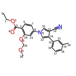 CCOC(=O)c1ccc(-n2cc(C#N)c(-c3cccc(C)c3)c2)cc1OCOC